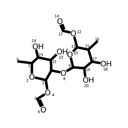 CC1OC(OC=O)C(OC2OC(OC=O)C(C)C(O)C2O)C(O)C1O